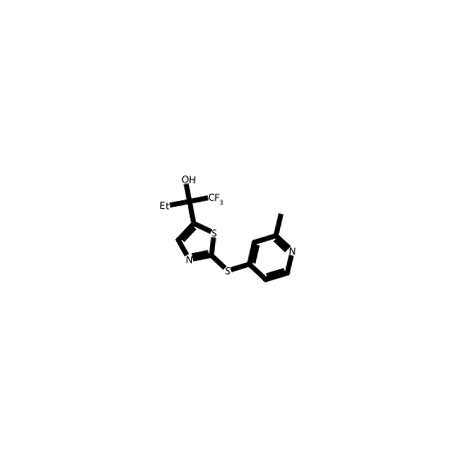 CCC(O)(c1cnc(Sc2ccnc(C)c2)s1)C(F)(F)F